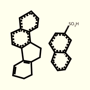 C1=CC2=C(CC1)CCc1c2ccc2ccccc12.O=S(=O)(O)c1ccc2ccccc2c1